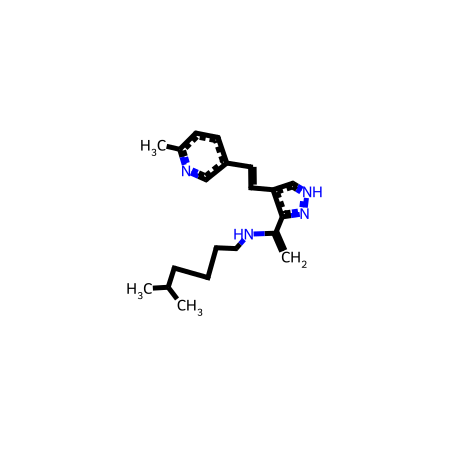 C=C(NCCCCC(C)C)c1n[nH]cc1/C=C/c1ccc(C)nc1